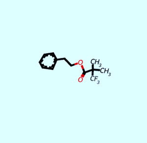 CC(C)(C(=O)OCCc1ccccc1)C(F)(F)F